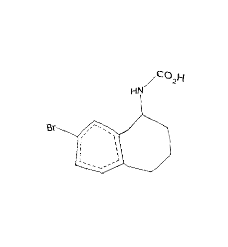 O=C(O)NC1CCCc2ccc(Br)cc21